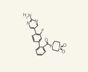 Nc1ncc(-c2ccc(-c3ccccc3C(=O)N3CCS(=O)(=O)CC3)cc2F)cn1